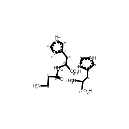 NC(Cc1c[nH]cn1)C(=O)O.NCCC(=O)NC(Cc1c[nH]cn1)C(=O)O